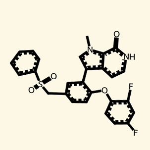 Cn1cc(-c2cc(CS(=O)(=O)c3ccccc3)ccc2Oc2ccc(F)cc2F)c2cc[nH]c(=O)c21